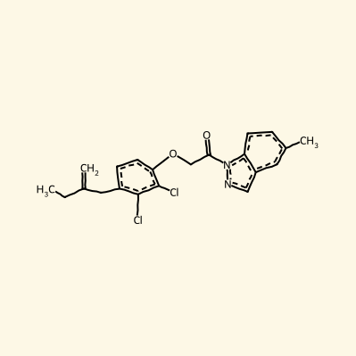 C=C(CC)Cc1ccc(OCC(=O)n2ncc3cc(C)ccc32)c(Cl)c1Cl